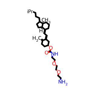 C=C1CC[C@H](OC(=O)NCCOCCOCCN)C/C1=C/C=C1\CCC[C@]2(C)C(CCCC(C)C)CC[C@@H]12